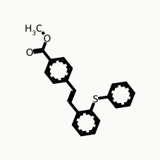 COC(=O)c1ccc(C=Cc2ccccc2Sc2ccccc2)cc1